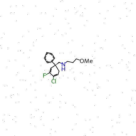 COCCCNC[C@]1(c2ccccc2)C=C(F)C(Cl)=CC1